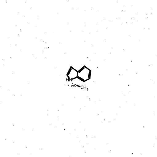 CC(C)=O.c1ccc2[nH]ccc2c1